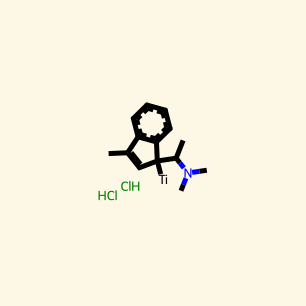 CC1=C[C]([Ti])(C(C)N(C)C)c2ccccc21.Cl.Cl